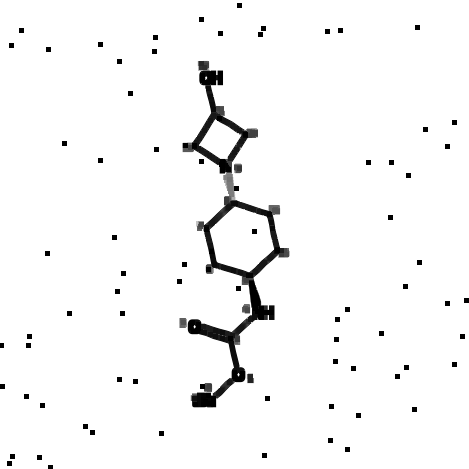 CC(C)(C)OC(=O)N[C@H]1CC[C@H](N2CC(O)C2)CC1